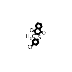 CC1=C(Sc2ccc(Cl)cc2)C(=O)c2ccccc2C1=O